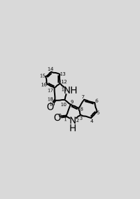 O=C1NC2C=CC=CC2=C1C1Nc2ccccc2C1=O